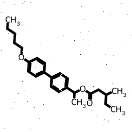 CCCCCOc1ccc(-c2ccc(C(C)OC(=O)CC(C)CC)cc2)cc1